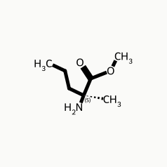 CCC[C@](C)(N)C(=O)OC